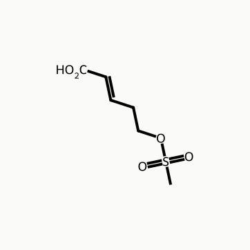 CS(=O)(=O)OCC/C=C/C(=O)O